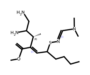 C=C(OC)/C(=C/C(CCCC)S/N=C/N(C)C)[C@@H](C)C(N)CN